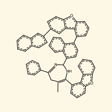 CC1=C(c2cccc3oc4ccccc4c23)NC(c2ccc(-c3cccc4oc5ccc(-c6ccc7ccccc7c6)cc5c34)c3ccccc23)N=C(c2ccccc2)C1